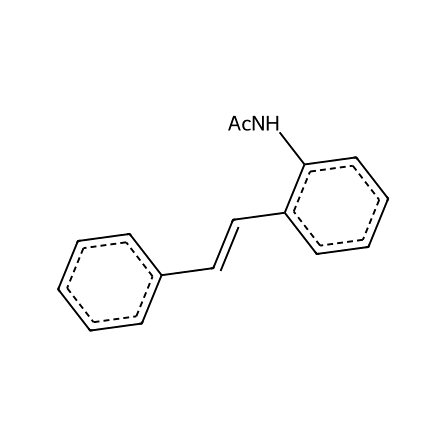 CC(=O)Nc1ccccc1C=Cc1ccccc1